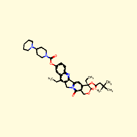 CCc1c2c(nc3ccc(OC(=O)N4CCC(N5CCCCC5)CC4)cc13)-c1cc3c(c(=O)n1C2)COC(=O)[C@@]3(CC)OC(=O)CC(C)(C)C